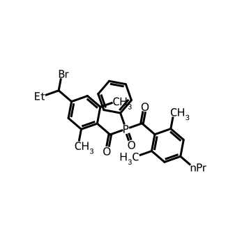 CCCc1cc(C)c(C(=O)P(=O)(C(=O)c2c(C)cc(C(Br)CC)cc2C)c2ccccc2)c(C)c1